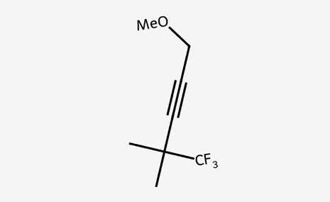 COCC#CC(C)(C)C(F)(F)F